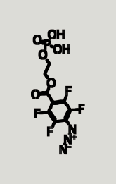 [N-]=[N+]=Nc1c(F)c(F)c(C(=O)OCCOP(=O)(O)O)c(F)c1F